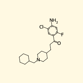 Nc1cc(F)c(C(=O)CCC2CCN(CC3CCCCC3)CC2)cc1Cl